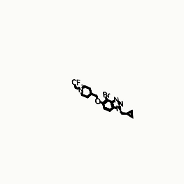 FC(F)(F)CN1CCC(COc2ccc3c(nnn3CC3CC3)c2Br)CC1